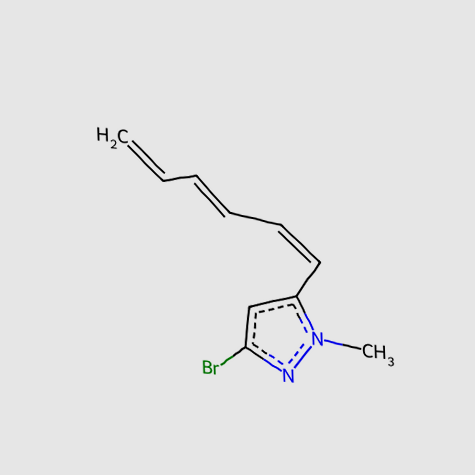 C=C/C=C/C=C\c1cc(Br)nn1C